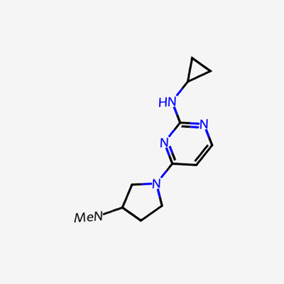 CNC1CCN(c2ccnc(NC3CC3)n2)C1